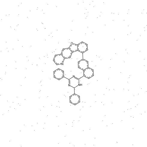 c1ccc(C2=NC(c3ccccc3)NC(c3cccc4cc(-c5cccc6oc7cc8cccnc8cc7c56)ccc34)=N2)cc1